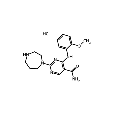 COc1ccccc1Nc1nc(N2CCCNCC2)ncc1C(N)=O.Cl